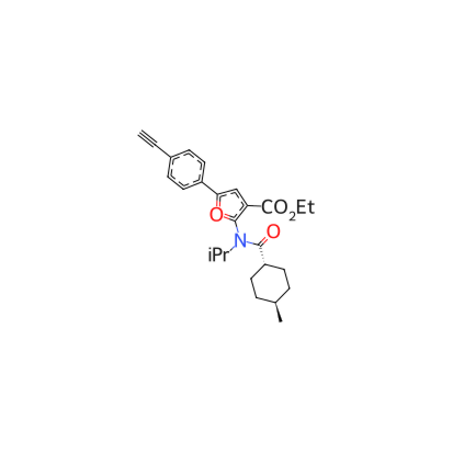 C#Cc1ccc(-c2cc(C(=O)OCC)c(N(C(=O)[C@H]3CC[C@H](C)CC3)C(C)C)o2)cc1